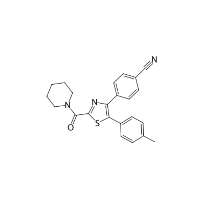 Cc1ccc(-c2sc(C(=O)N3CCCCC3)nc2-c2ccc(C#N)cc2)cc1